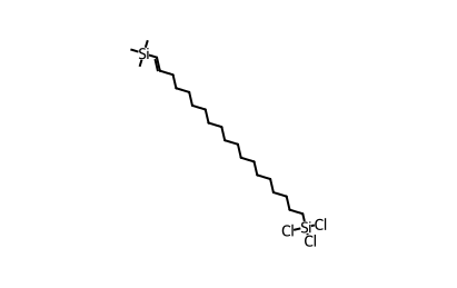 C[Si](C)(C)C=CCCCCCCCCCCCCCCCCC[Si](Cl)(Cl)Cl